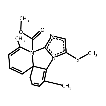 COC(=O)[N+]12C(C)=CC=CC13CC=CC(C)=C3n1c(SC)cnc12